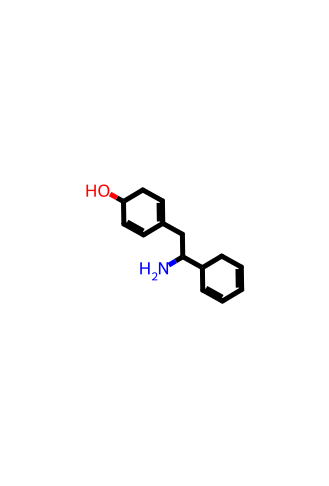 NC(CC1=CCC(O)C=C1)C1C=CC=CC1